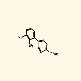 CCc1cccc(-c2ccc(OC)cc2)c1C(C)C